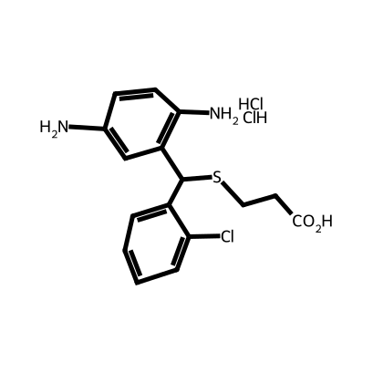 Cl.Cl.Nc1ccc(N)c(C(SCCC(=O)O)c2ccccc2Cl)c1